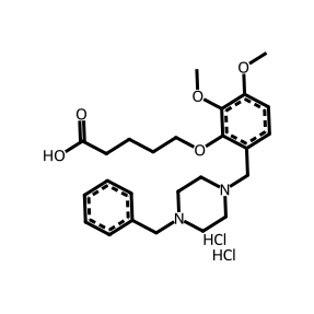 COc1ccc(CN2CCN(Cc3ccccc3)CC2)c(OCCCCC(=O)O)c1OC.Cl.Cl